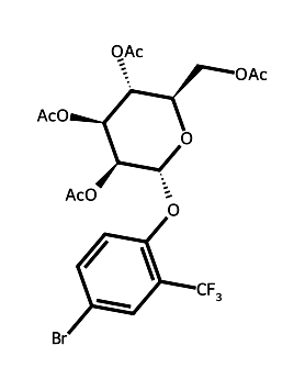 CC(=O)OC[C@H]1O[C@H](Oc2ccc(Br)cc2C(F)(F)F)[C@@H](OC(C)=O)[C@@H](OC(C)=O)[C@@H]1OC(C)=O